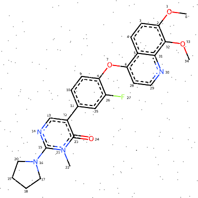 COc1ccc2c(Oc3ccc(-c4cnc(N5CCCC5)n(C)c4=O)cc3F)ccnc2c1OC